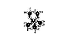 Cc1c(O)cc(C(=O)OC[C@H]2OC(COC(=O)c3cc(O)c(O)c(O)c3)[C@@H](OC(=O)c3cc(O)c(O)c(O)c3)[C@@H](OC(=O)c3cc(O)c(O)c(O)c3)C2OC(=O)c2cc(O)c(O)c(O)c2)cc1O